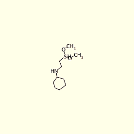 CO[SiH](CCNC1CCCCC1)OC